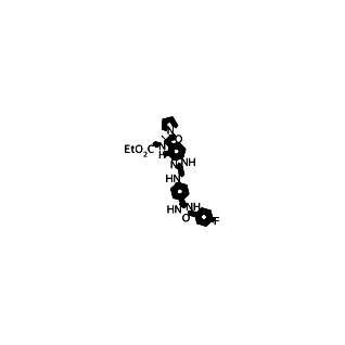 CCOC(=O)CN[C@@](C)(C(=O)N1CCCC1)c1ccc2[nH]c(CNc3ccc(C(=N)NC(=O)c4ccc(F)cc4)cc3)nc2c1C